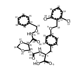 O=C(O)[C@H](Cc1ccc(OCc2c(Cl)cccc2Cl)cc1)NC(=O)[C@@H]1OCO[C@H]1C(=O)NOCc1ccccc1